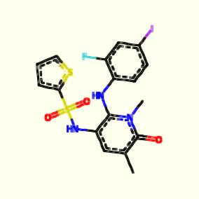 Cc1cc(NS(=O)(=O)c2cccs2)c(Nc2ccc(I)cc2F)n(C)c1=O